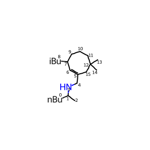 CCCCC(C)NC/C1=C/C(C(C)CC)CCCC(C)(C)C1